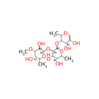 COC1[C@@H](O)C(C)O[C@H](O[C@@H]2C(O)[C@@H](O)C(C)O[C@@H]2OC2C(C)OC=C(O)[C@@H]2O)[C@@H]1O